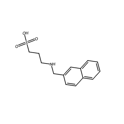 O=S(=O)(O)CCCNCc1ccc2ccccc2c1